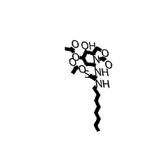 CCCCCCCCNC(=S)N[C@@H]1C(OC(C)=O)C(OC(C)=O)[C@H](O)C2COC(=O)N21